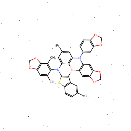 Cc1cc2c(c(C)c1N1c3cc(C(C)C)cc4c3B(c3cc5c(cc3N4c3ccc4c(c3)OCO4)OCO5)c3c1sc1ccc(C(C)(C)C)cc31)OCO2